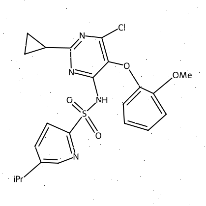 COc1ccccc1Oc1c(Cl)nc(C2CC2)nc1NS(=O)(=O)c1ccc(C(C)C)cn1